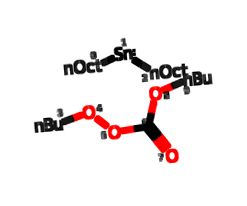 CCCCCCC[CH2][Sn][CH2]CCCCCCC.CCCCOOC(=O)OCCCC